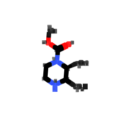 CCCCCCCC[C@H]1C(C(=O)O)NCCN1C(=O)OC(C)(C)C